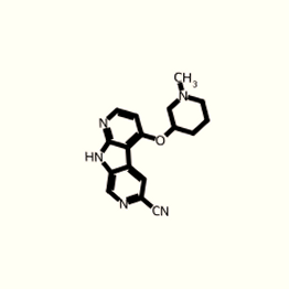 CN1CCCC(Oc2ccnc3[nH]c4cnc(C#N)cc4c23)C1